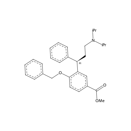 COC(=O)c1ccc(OCc2ccccc2)c([C@H](CCN(C(C)C)C(C)C)c2ccccc2)c1